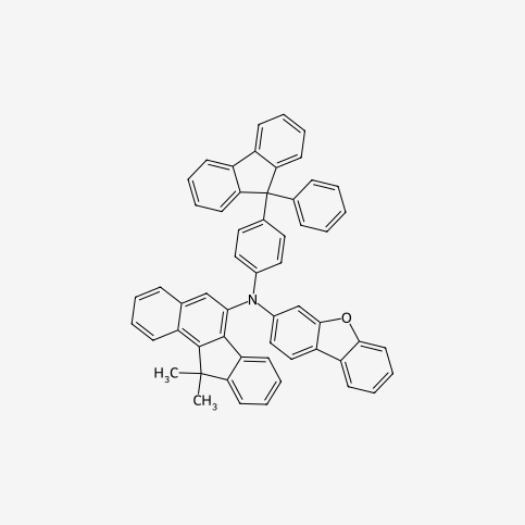 CC1(C)c2ccccc2-c2c(N(c3ccc(C4(c5ccccc5)c5ccccc5-c5ccccc54)cc3)c3ccc4c(c3)oc3ccccc34)cc3ccccc3c21